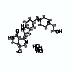 Cl.Cl.Cl.O=C1NCc2c(Cl)cnc(-c3cc4cc(CN5CCN(CCO)CC5)ccc4[nH]3)c21